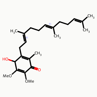 COC1=C(OC)C(O)C(C/C=C(\C)CC/C=C(\C)CCC=C(C)C)=C(C)C1=O